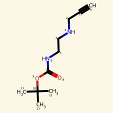 C#CCNCCNC(=O)OC(C)(C)C